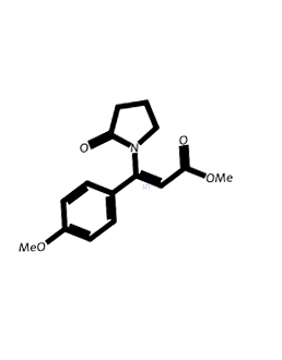 COC(=O)/C=C(/c1ccc(OC)cc1)N1CCCC1=O